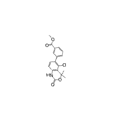 COC(=O)c1cccc(-c2ccc3c(c2Cl)C(C)(C)OC(=O)N3)c1